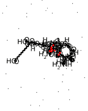 CCCC[C@H](NC(=O)[C@H](CN)NC(=O)[C@H](Cc1c[nH]cn1)NC(=O)[C@@H](CCC(N)=O)NC(=O)[C@H](CO)NC(=O)CNC(=O)COCCOCCNC(=O)[C@@H](CCC(=O)O)NC(=O)CCCCCCCCCCCCCCC(=O)O)C(=O)N[C@H]1CCC(=O)NCCCC[C@@H](C(C)=O)NC(=O)[C@H](Cc2c[nH]c3ccccc23)NC(=O)[C@H](CCCNC(=N)N)NC(=O)[C@@H](Cc2ccccc2)NC(=O)[C@@H]2C[C@@H](O)CN2C1=O